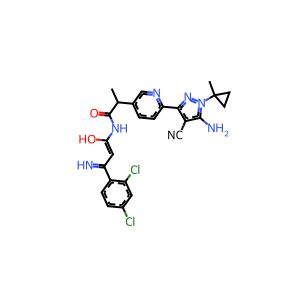 CC(C(=O)N/C(O)=C/C(=N)c1ccc(Cl)cc1Cl)c1ccc(-c2nn(C3(C)CC3)c(N)c2C#N)nc1